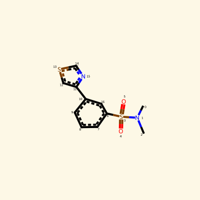 CN(C)S(=O)(=O)c1cccc(-c2cs[c]n2)c1